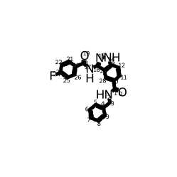 O=C(NCc1ccccc1)c1ccc2[nH]nc(NC(=O)c3ccc(F)cc3)c2c1